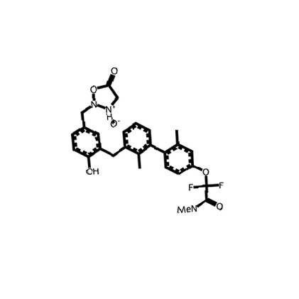 CNC(=O)C(F)(F)Oc1ccc(-c2cccc(Cc3cc(CN4OC(=O)C[NH+]4[O-])ccc3O)c2C)c(C)c1